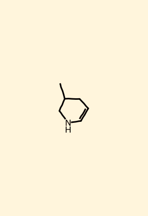 CC1CC=CNC1